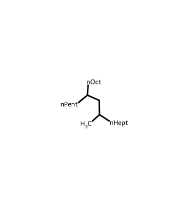 CCCCCCCCC(CCCCC)CC(C)CCCCCCC